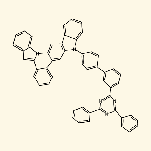 c1ccc(-c2nc(-c3ccccc3)nc(-c3cccc(-c4ccc(-n5c6ccccc6c6cc7c(cc65)c5ccccc5c5cc6ccccc6n57)cc4)c3)n2)cc1